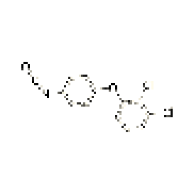 O=C=Nc1ccc(Oc2cccc(Cl)c2Cl)cc1